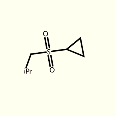 CC(C)CS(=O)(=O)C1CC1